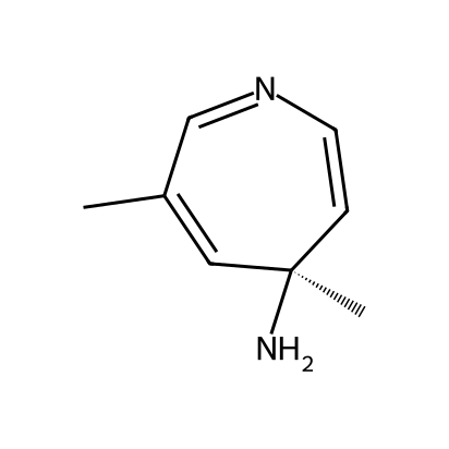 CC1=C[C@](C)(N)C=CN=C1